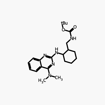 CN(C)c1nc(NC2CCCCC2CNC(=O)OC(C)(C)C)nc2ccccc12